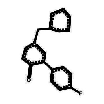 O=c1ccn(Cc2ccccc2)cc1-c1ccc(F)cc1